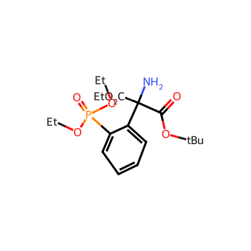 CCOC(=O)C(N)(C(=O)OC(C)(C)C)c1ccccc1P(=O)(OCC)OCC